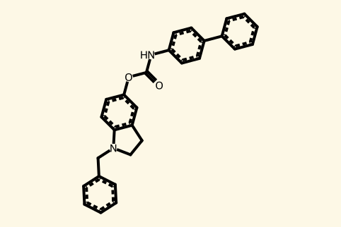 O=C(Nc1ccc(-c2ccccc2)cc1)Oc1ccc2c(c1)CCN2Cc1ccccc1